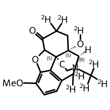 [2H]O[C@@]12CC([2H])([2H])C(=O)C3Oc4c(OC)ccc5c4[C@@]31CCN(C([2H])([2H])[2H])[C@@H]2C5([2H])[2H]